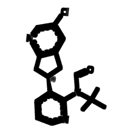 CC(C)(C)N(C=O)c1ncccc1[C@@H]1Cc2cc(Cl)cnc2C1